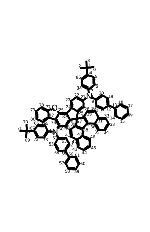 CC(C)(C)c1ccc(N(c2ccc(-c3ccccc3)cc2)c2ccc3c(c2)C2(c4ccc5ccccc5c4-c4c2ccc2ccccc42)c2cc(N(c4ccc(-c5ccccc5)cc4)c4ccc(C(C)(C)C)cc4)c4c(oc5ccccc54)c2-3)cc1